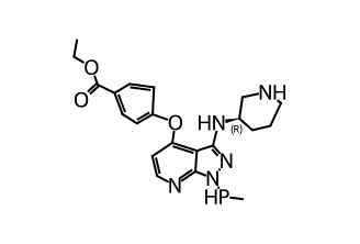 CCOC(=O)c1ccc(Oc2ccnc3c2c(N[C@@H]2CCCNC2)nn3PC)cc1